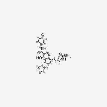 CC(C)(CCc1cc(CN2CCOCC2)cc2c(O)c(C(=O)NCc3ccc(Cl)cc3)nnc12)NC(N)=O